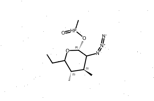 CCC1O[C@H](O[PH](C)=O)C(N=[N+]=[N-])[C@@H](C)[C@@H]1C